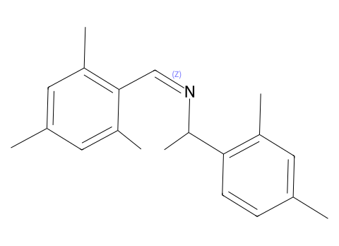 Cc1ccc(C(C)/N=C\c2c(C)cc(C)cc2C)c(C)c1